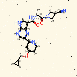 C[C@@H](NC(=O)c1c[nH]c2ncc(-c3cc(OCC4CC4)ccn3)nc12)C(=O)N1CC(C#N)C1